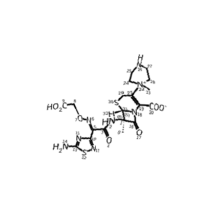 C[C@@]1(NC(=O)C(=NOCC(=O)O)c2nsc(N)n2)C(=O)N2C(C(=O)[O-])=C([N+]3(C)CCNCC3)CS[C@H]21